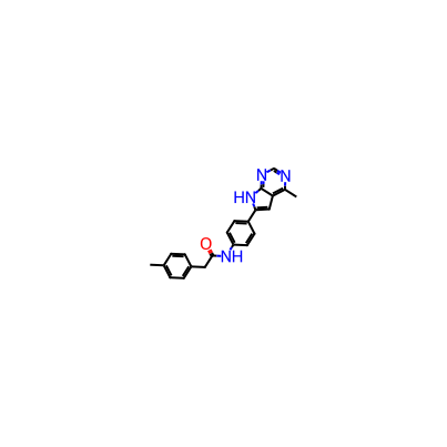 Cc1ccc(CC(=O)Nc2ccc(-c3cc4c(C)ncnc4[nH]3)cc2)cc1